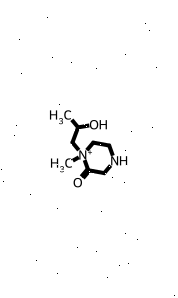 CC(O)C[N+]1(C)CCNCC1=O